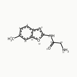 Cc1ccc2nc(NC(=O)CN)oc2c1